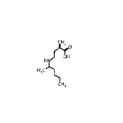 C=C(CCNC(C)CCCC)C(=O)O